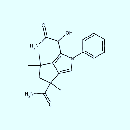 CC1(C)CC(C)(C(N)=O)c2cn(-c3ccccc3)c(C(O)C(N)=O)c21